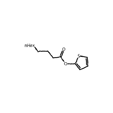 CCCCCCCCCC(=O)Oc1cccs1